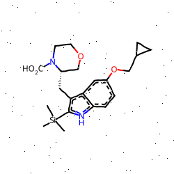 C[Si](C)(C)c1[nH]c2ccc(OCC3CC3)cc2c1C[C@H]1COCCN1C(=O)O